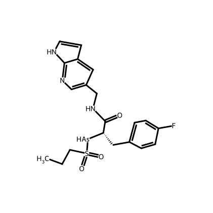 CCCS(=O)(=O)[AsH][C@@H](Cc1ccc(F)cc1)C(=O)NCc1cnc2[nH]ccc2c1